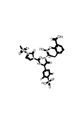 CS(=O)(=O)N1CCN(C(=O)NC(C(=O)N[C@H]2Cc3cccc(C(=O)O)c3OB2O)c2cc(F)c(P(=O)(O)O)c(F)c2)C1=O